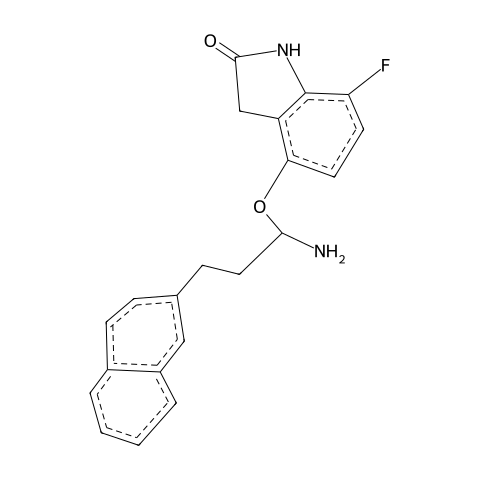 NC(CCc1ccc2ccccc2c1)Oc1ccc(F)c2c1CC(=O)N2